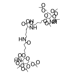 CC(=O)N[C@H]1[C@H](OCCCCC(=O)NCCCC[C@H](NC(=O)CCCCO[C@@H]2O[C@H](COC(C)=O)[C@H](OC(C)=O)[C@H](OC(C)=O)[C@H]2NC(C)=O)C(=O)O)O[C@H](COC(C)=O)[C@H](OC(C)=O)[C@@H]1OC(C)=O